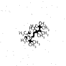 C=C(C(C)(C)C)C(C)(C)CCN(C(C)(C)C)S(C)(=O)=O